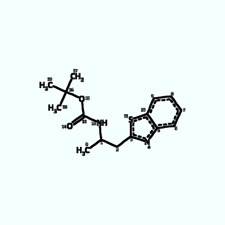 CC(Cc1nc2ccccc2s1)NC(=O)OC(C)(C)C